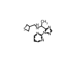 CC(NCC1CSC1)c1ncnn1-c1ncccn1